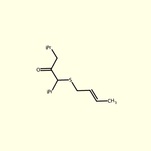 CC=CCSC(C(=O)CC(C)C)C(C)C